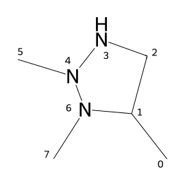 CC1CNN(C)N1C